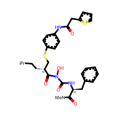 CNC(=O)[C@H](Cc1ccccc1)NC(=O)N(O)C(=O)[C@H](CCC(C)C)CSc1ccc(NC(=O)Cc2cccs2)cc1